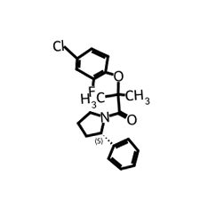 CC(C)(Oc1ccc(Cl)cc1F)C(=O)N1CCC[C@H]1c1ccccc1